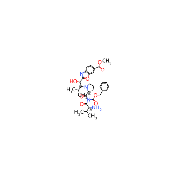 COC(=O)c1ccc2nc(C(O)[C@H](C(C)C)N3CCC[C@H]3C(=O)N(C(=O)OCc3ccccc3)C(=O)[C@@H](N)C(C)C)oc2c1